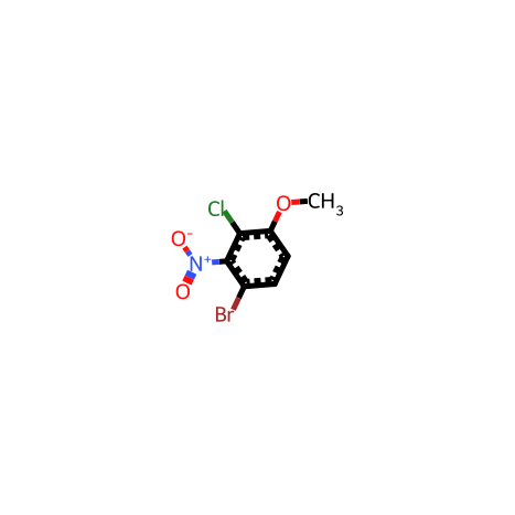 COc1ccc(Br)c([N+](=O)[O-])c1Cl